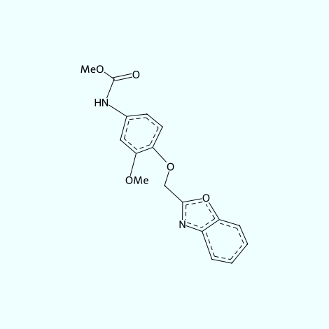 COC(=O)Nc1ccc(OCc2nc3ccccc3o2)c(OC)c1